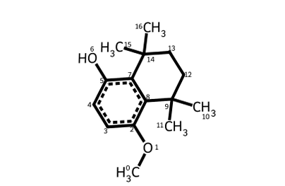 COc1ccc(O)c2c1C(C)(C)CCC2(C)C